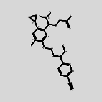 C#Cc1ccc(C(CC)CCNc2cc(C(CCC(=C)C)C(C)C)c(C3CC3)cc2C)cc1